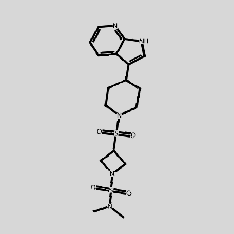 CN(C)S(=O)(=O)N1CC(S(=O)(=O)N2CCC(c3c[nH]c4ncccc34)CC2)C1